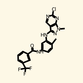 Cc1ccc(NC(=O)c2cccc(C(F)(F)F)c2)cc1Nc1nn(C)c2nc(Cl)ncc12